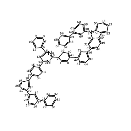 C1=CC(c2nc(-c3ccccc3)cc(-c3ccc(-c4cccc(-c5cccc(-c6ccccc6)c5)c4)cc3)n2)CC=C1c1cccc(-c2ccc3c4ccccc4n(-c4cccc(-c5ccccc5)c4)c3c2)c1